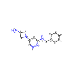 NC1CN(c2cnnc(NCc3ccccc3)c2)C1